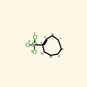 Cl[Si](Cl)(Cl)C1=CCCCCCC1